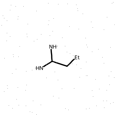 CCCC([NH])[NH]